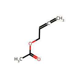 C=C=CCOC(C)=O